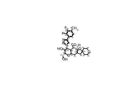 Cc1ccc(-c2cn([C@@H]3[C@@H](O)[C@@H](CO)O[C@H](CC4=NOC5(CCOCC5)C4)[C@@H]3CC(=O)O)nn2)c(F)c1F